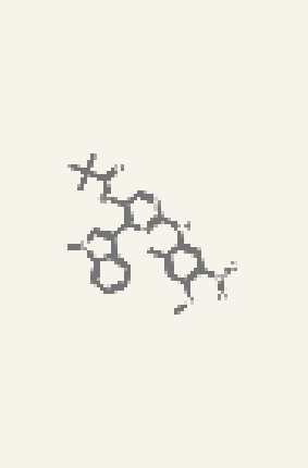 COc1cc(C)c(Nc2ncc(NC(=O)C(C)(C)C)c(-c3cn(C)c4ccccc34)n2)cc1[N+](=O)[O-]